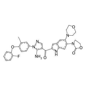 Cc1cc(-n2ncc(C(=O)c3cc4cc(N5CCOCC5)c(N5CCOC5=O)cc4[nH]3)c2N)ccc1Oc1ccccc1F